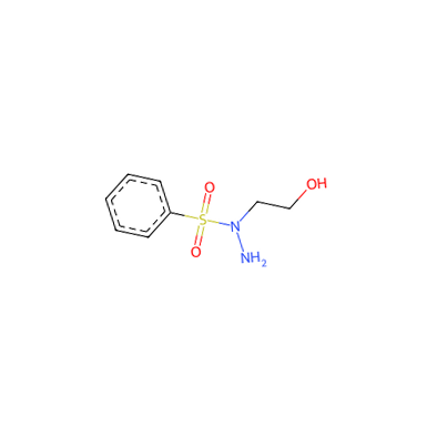 NN(CCO)S(=O)(=O)c1ccccc1